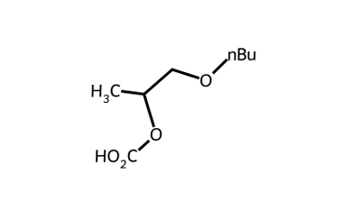 CCCCOCC(C)OC(=O)O